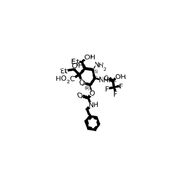 CCC(O)C1[C@H](N)[C@@H](NC(C)=O)[C@@H](OC(=O)NCc2ccccc2)OC1(C(=O)O)C(O)CC.O=C(O)C(F)(F)F